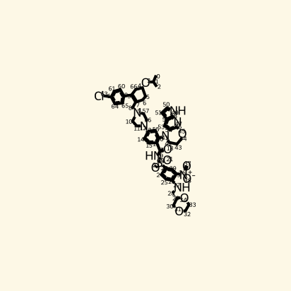 CC(C)O[C@H]1CCC(CN2CCN(c3ccc(C(=O)NS(=O)(=O)c4ccc(NC[C@H]5COCCO5)c([N+](=O)[O-])c4)c(N4CCCOc5nc6[nH]ccc6cc54)c3)CC2)=C(c2ccc(Cl)cc2)C1